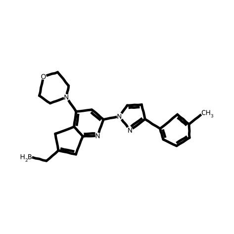 BCC1=Cc2nc(-n3ccc(-c4cccc(C)c4)n3)cc(N3CCOCC3)c2C1